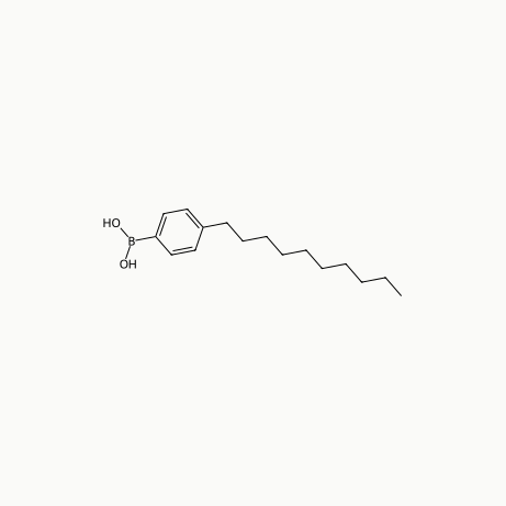 CCCCCCCCCCc1ccc(B(O)O)cc1